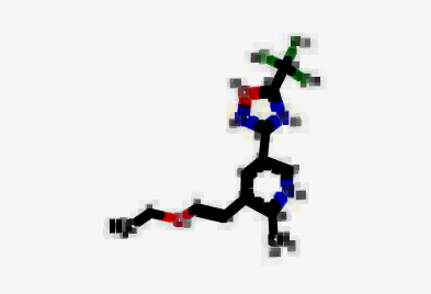 CCO/C=C/c1cc(-c2noc(C(F)(F)F)n2)cnc1C